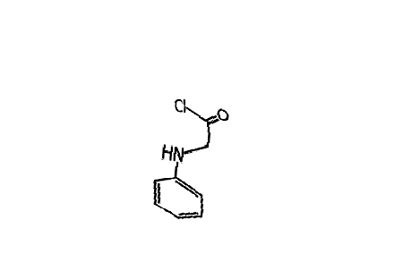 O=C(Cl)CNc1ccccc1